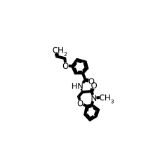 C=CCOc1cccc(C(=O)N[C@@H]2COc3ccccc3N(C)C2=O)c1